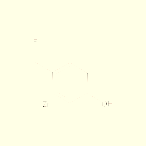 Oc1ccc(CF)cc1.[Zr]